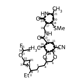 CC[C@H](CCCC1COc2c(C#N)cc(C(=O)NCc3c(SC)cc(C)[nH]c3=O)c(C)c2O1)N1CC(OC(F)F)C1